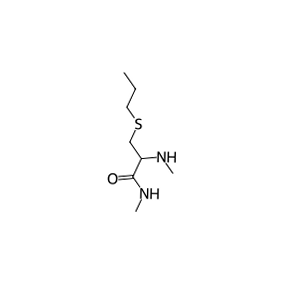 CCCSCC(NC)C(=O)NC